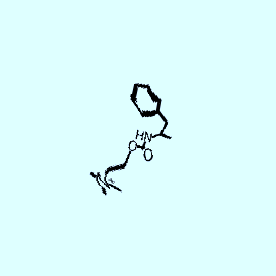 CC(Cc1ccccc1)NC(=O)OCC[N+](C)(C)C